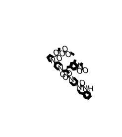 CCOC(=O)OC(C)OC(=O)[C@H]1CCCN1C1CCN(C(=O)[C@@H](Cc2cc(C)c3c(c2)oc(=O)n3C)OC(=O)N2CCC(N3CCc4ccccc4NC3=O)CC2)CC1